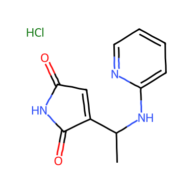 CC(Nc1ccccn1)C1=CC(=O)NC1=O.Cl